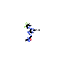 Cc1noc(Cn2nnc3c(N4CC(F)(F)C(F)(F)C4)nc(C(C)(C)C)nc32)n1